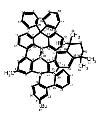 Cc1cc2c3c(c1)N(c1ccc(C(C)(C)C)cc1-c1ccccc1)c1sc4cc5c(cc4c1B3N1c3ccccc3C(c3ccccc3)(c3ccccc3)c3cccc-2c31)C(C)(C)CCC5(C)C